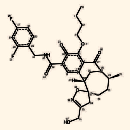 CCCCOc1c2n(cc(C(=O)NCc3ccc(F)cc3F)c1=O)[C@@H]1CN(C2=O)[C@@H](C)CC[C@@]12CC(CO)=NO2